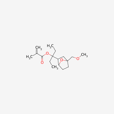 C=C(C)C(=O)OC(CC)(CC)C1CC2(COC)CCC1O2